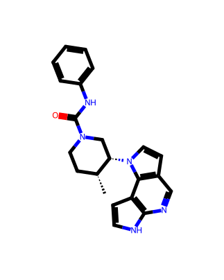 C[C@@H]1CCN(C(=O)Nc2ccccc2)C[C@@H]1n1ccc2cnc3[nH]ccc3c21